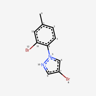 Cc1ccc(-n2cc(Br)cn2)c(Br)c1